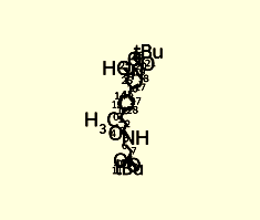 CC(CC(=O)NCCC(=O)OC(C)(C)C)c1ccc(C2CCN(C(=O)OC(C)(C)C)C(O)C2)cc1